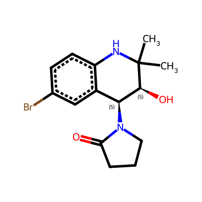 CC1(C)Nc2ccc(Br)cc2[C@H](N2CCCC2=O)[C@@H]1O